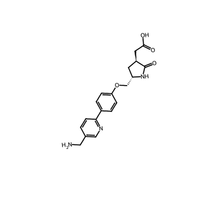 NCc1ccc(-c2ccc(OC[C@@H]3C[C@@H](CC(=O)O)C(=O)N3)cc2)nc1